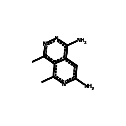 Cc1nnc(N)c2cc(N)nc(C)c12